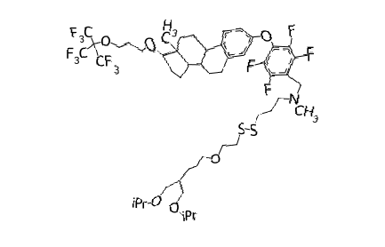 CC(C)OCC(CCCOCCSSCCCN(C)Cc1c(F)c(F)c(Oc2ccc3c(c2)CCC2C3CCC3(C)C(OCCCOC(C(F)(F)F)(C(F)(F)F)C(F)(F)F)CCC23)c(F)c1F)COC(C)C